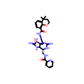 CC1(C)CCOc2c(C(=O)NC3CN4C(=N)N[C@@H](CNC(=O)c5ccccn5)C5NC(=N)NC54[C@@H]3O)cccc21